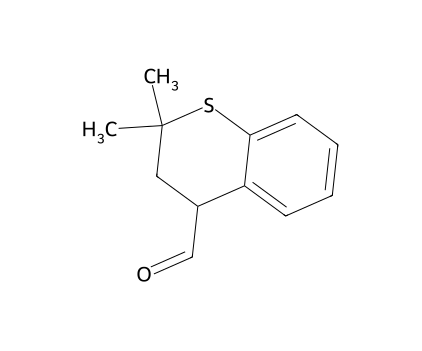 CC1(C)CC(C=O)c2ccccc2S1